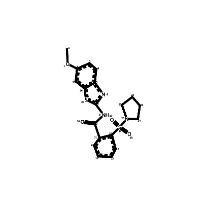 COc1ccc2nc(NC(=O)c3ccccc3S(=O)(=O)N3CCCC3)sc2c1